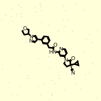 N#C[C@@]1(C2CC2)CCN(c2ccnc(NC(=O)Cc3cccc(-c4cnn(C5CCOC5)c4)c3)c2)C1=O